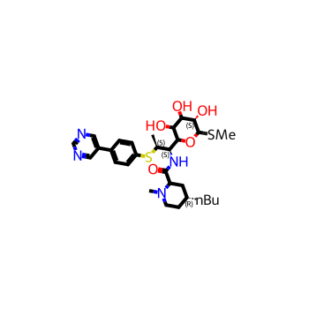 CCCC[C@@H]1CCN(C)C(C(=O)N[C@@H](C2OC(SC)[C@@H](O)C(O)C2O)[C@H](C)Sc2ccc(-c3cncnc3)cc2)C1